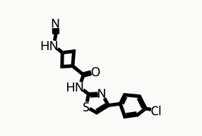 N#CNC1CC(C(=O)Nc2nc(-c3ccc(Cl)cc3)cs2)C1